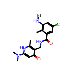 CCNc1cc(Cl)cc(C(=O)NCc2c(C)[nH]c(N(C)C)cc2=O)c1C